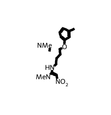 CNC.CNC(=C[N+](=O)[O-])NCCCCOc1cccc(C)c1